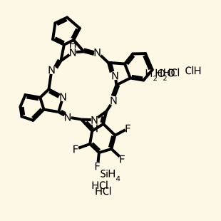 Cl.Cl.Cl.Cl.Fc1c(F)c(F)c2c3nc4nc(nc5[nH]c(nc6nc(nc([nH]3)c2c1F)-c1ccccc1-6)c1ccccc51)-c1ccccc1-4.O.O.[SiH4]